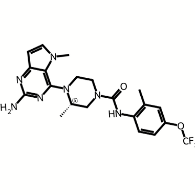 Cc1cc(OC(F)(F)F)ccc1NC(=O)N1CCN(c2nc(N)nc3ccn(C)c23)[C@@H](C)C1